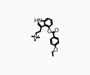 CCOc1ccc(C(=O)Oc2cccc3[nH]cc(CC[N+](C)(C)C)c23)cc1